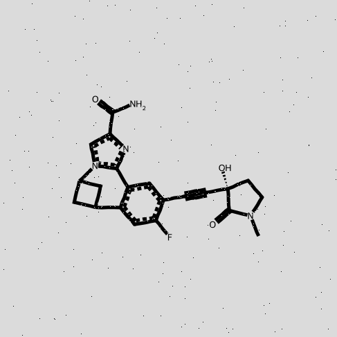 CN1CC[C@](O)(C#Cc2cc3c(cc2F)C2CC(C2)n2cc(C(N)=O)nc2-3)C1=O